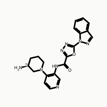 N[C@H]1CCCN(c2ccncc2NC(=O)c2nnc(-n3ncc4ccccc43)o2)C1